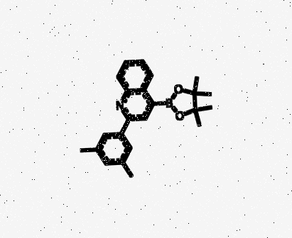 Cc1cc(C)cc(-c2cc(B3OC(C)(C)C(C)(C)O3)c3ccccc3n2)c1